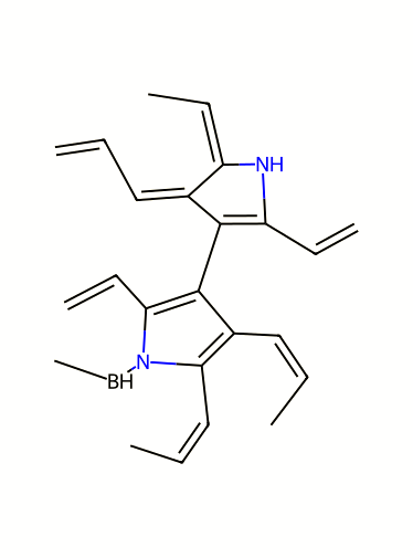 C=C/C=c1/c(-c2c(/C=C\C)c(/C=C\C)n(BC)c2C=C)c(C=C)[nH]/c1=C/C